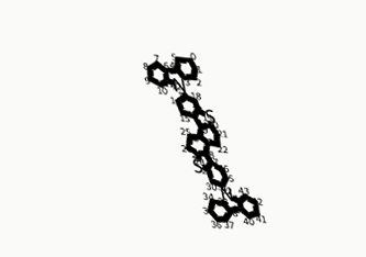 c1ccc2c(c1)c1ccccc1n2-c1ccc2c(c1)sc1ccc3c(ccc4sc5cc(-n6c7ccccc7c7ccccc76)ccc5c43)c12